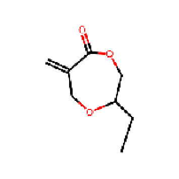 C=C1COC(CC)COC1=O